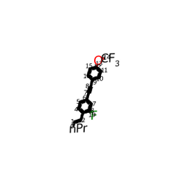 CCC/C=C/c1ccc(C#Cc2ccc(OC(F)(F)F)cc2)cc1F